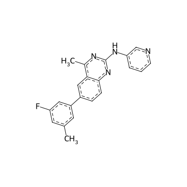 Cc1cc(F)cc(-c2ccc3nc(Nc4cccnc4)nc(C)c3c2)c1